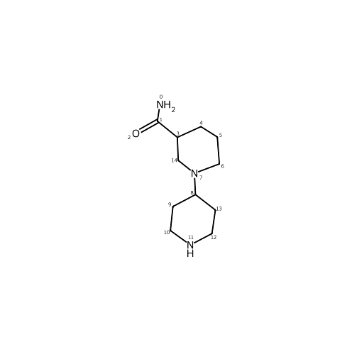 NC(=O)C1CCCN(C2CCNCC2)C1